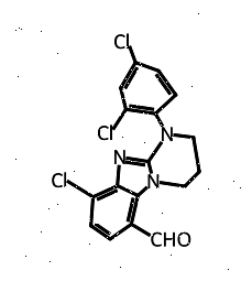 O=Cc1ccc(Cl)c2nc3n(c12)CCCN3c1ccc(Cl)cc1Cl